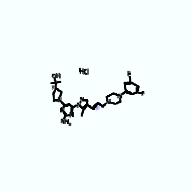 Cc1c(/C=C/CN2CCN(c3cc(F)cc(F)c3)CC2)cnn1-c1cc(N2CC[C@@H](C(C)(C)O)C2)nc(N)n1.Cl